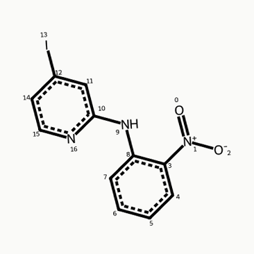 O=[N+]([O-])c1ccccc1Nc1cc(I)ccn1